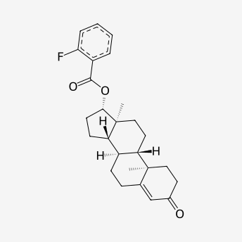 C[C@]12CC[C@H]3[C@@H](CCC4=CC(=O)CC[C@@]43C)[C@@H]1CC[C@@H]2OC(=O)c1ccccc1F